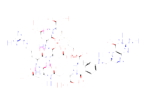 CC(=O)OCCSSC[C@H](NC(=O)[C@H](CC(=O)O)NC(=O)[C@H](CC(=O)O)NC(=O)[C@H](CCCNC(=N)N)NC(=O)[C@H](CC(=O)O)NC(=O)CC[C@H](NC(=O)c1ccc(NCc2cnc3nc(N)[nH]c(=O)c3n2)cc1)C(=O)O)C(=O)O